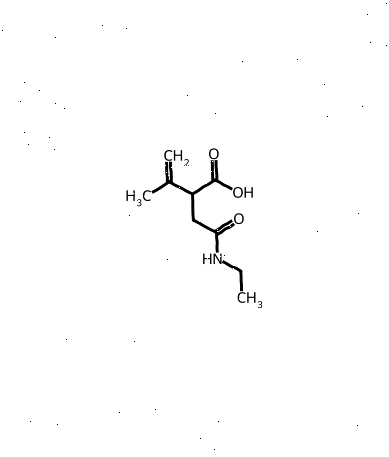 C=C(C)C(CC(=O)NCC)C(=O)O